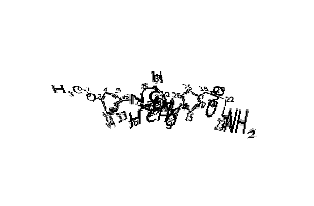 CCOc1ccc(N2C[C@H]3CN(C(=O)c4ccc(CS(=O)(=O)CCN)cc4)C[C@@H]2C(C)(C)C3)cc1